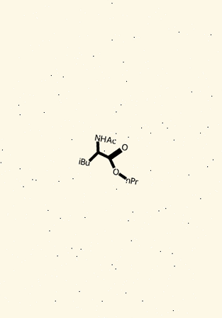 CCCOC(=O)C(NC(C)=O)C(C)CC